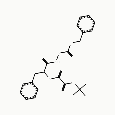 CC(C)(C)OC(=O)C(=O)NC(Cc1ccccc1)C(=O)NNC(=O)OCc1ccccc1